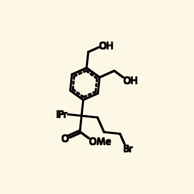 COC(=O)C(CCCBr)(c1ccc(CO)c(CO)c1)C(C)C